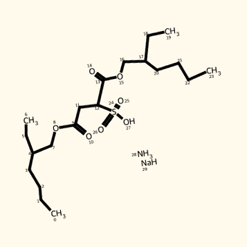 CCCCC(CC)COC(=O)CC(C(=O)OCC(CC)CCCC)S(=O)(=O)O.N.[NaH]